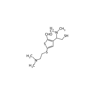 CN(C)CCSc1cc(C(CS)N(C)C)c(C=O)s1